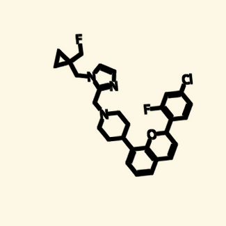 FCC1(Cn2ccnc2CN2CCC(c3cccc4c3OC(c3ccc(Cl)cc3F)C=C4)CC2)CC1